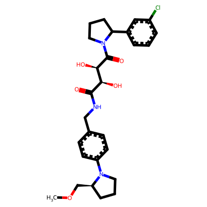 COC[C@@H]1CCCN1c1ccc(CNC(=O)[C@H](O)[C@@H](O)C(=O)N2CCCC2c2cccc(Cl)c2)cc1